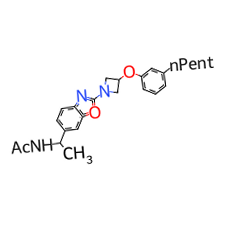 CCCCCc1cccc(OC2CN(c3nc4ccc(C(C)NC(C)=O)cc4o3)C2)c1